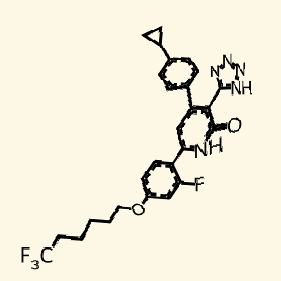 O=c1[nH]c(-c2ccc(OCCCCCC(F)(F)F)cc2F)cc(-c2ccc(C3CC3)cc2)c1-c1nnn[nH]1